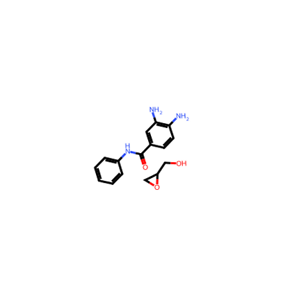 Nc1ccc(C(=O)Nc2ccccc2)cc1N.OCC1CO1